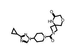 O=C1COCC2(CN(C(=O)N3CCC(n4cnc(C5CC5)n4)CC3)C2)N1